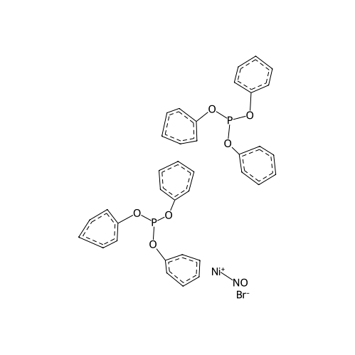 O=[N][Ni+].[Br-].c1ccc(OP(Oc2ccccc2)Oc2ccccc2)cc1.c1ccc(OP(Oc2ccccc2)Oc2ccccc2)cc1